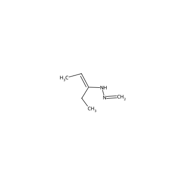 C=NN/C(=C/C)CC